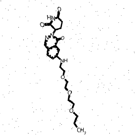 CCCOCCOCCOCCNc1ccc2cnn(C3CCC(=O)NC3=O)c(=O)c2c1